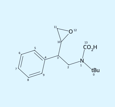 CC(C)(C)N(CC(c1ccccc1)C1CO1)C(=O)O